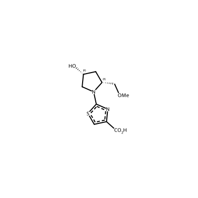 COC[C@H]1C[C@@H](O)CN1c1nc(C(=O)O)cs1